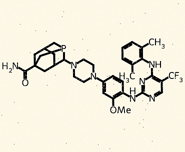 COc1cc(N2CCN(C3C4CC5CP3CC(C(N)=O)(C5)C4)CC2)ccc1Nc1ncc(C(F)(F)F)c(Nc2c(C)cccc2C)n1